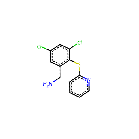 NCc1cc(Cl)cc(Cl)c1Sc1[c]cccn1